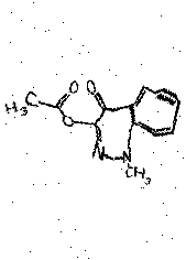 CC(=O)Oc1nn(C)c2ccccc2c1=O